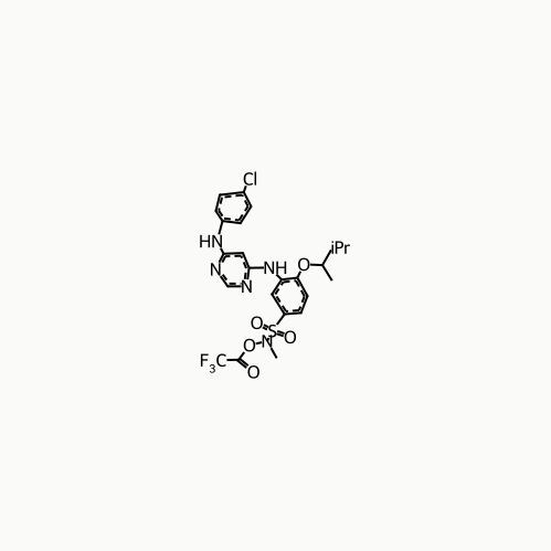 CC(C)C(C)Oc1ccc(S(=O)(=O)N(C)OC(=O)C(F)(F)F)cc1Nc1cc(Nc2ccc(Cl)cc2)ncn1